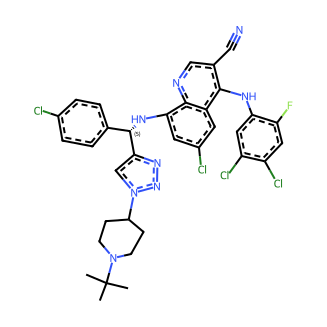 CC(C)(C)N1CCC(n2cc([C@@H](Nc3cc(Cl)cc4c(Nc5cc(Cl)c(Cl)cc5F)c(C#N)cnc34)c3ccc(Cl)cc3)nn2)CC1